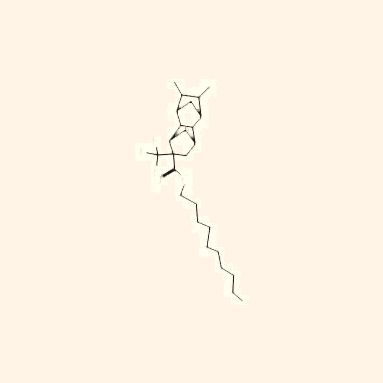 CCCCCCCCCCOC(=O)C1(C(F)(F)F)CC2CC1C1C3CC(C(C)C3C)C21